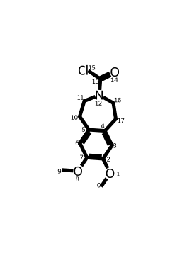 COc1cc2c(cc1OC)CCN(C(=O)Cl)CC2